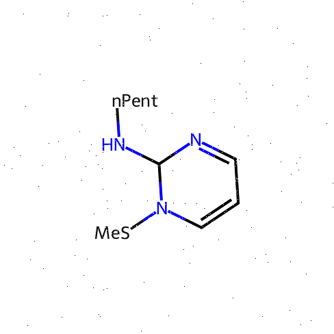 CCCCCNC1N=CC=CN1SC